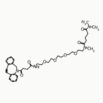 CN(C)C(=O)CCCC(=O)N(C)CCOCCOCCOCCOCCNC(=O)CCC(=O)N1Cc2ccccc2C#Cc2ccccc21